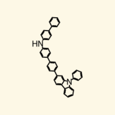 c1ccc(-c2ccc(Nc3ccc(-c4ccc(-c5ccc6c7ccccc7n(-c7ccccc7)c6c5)cc4)cc3)cc2)cc1